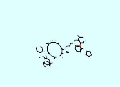 COc1ccc(N(CCCN2C(=O)O[C@]3(C)[C@@H](I)OC(=O)[C@H](C)[C@@H](O[C@H]4C[C@@](C)(OC)[C@@H](O)[C@H](C)O4)[C@H](C)[C@@H](O[C@@H]4O[C@H](C)C[C@H](N(C)C(=O)N5CCOCC5)[C@H]4O)[C@](C)(OC)C[C@@H](C)C(=O)[C@H](C)[C@@H]23)Cc2c(Cl)cncc2Cl)cc1OC1CCCC1